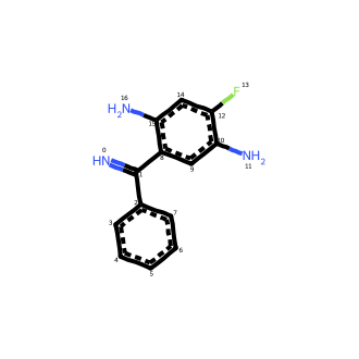 N=C(c1ccccc1)c1cc(N)c(F)cc1N